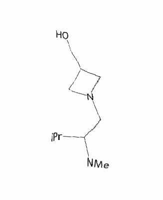 CNC(CN1CC(O)C1)C(C)C